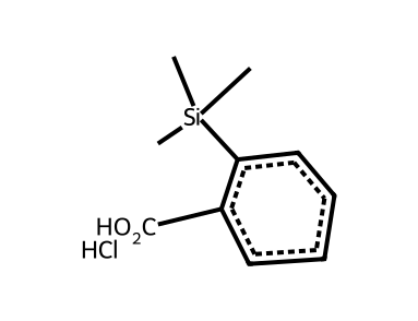 C[Si](C)(C)c1ccccc1C(=O)O.Cl